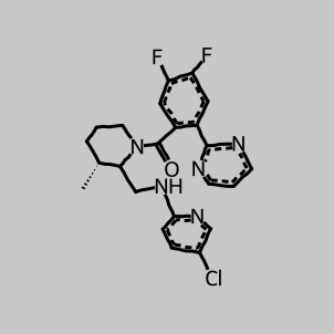 C[C@@H]1CCCN(C(=O)c2cc(F)c(F)cc2-c2ncccn2)C1CNc1ccc(Cl)cn1